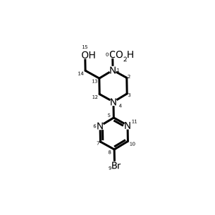 O=C(O)N1CCN(c2ncc(Br)cn2)CC1CO